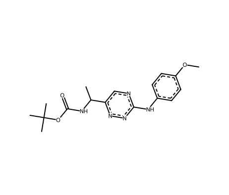 COc1ccc(Nc2ncc(C(C)NC(=O)OC(C)(C)C)nn2)cc1